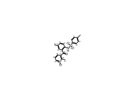 Cc1ccc(S(=O)(=O)Nc2ccc(C)cc2C(=O)c2ccc[n+]([O-])c2C)cc1